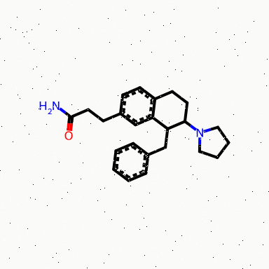 NC(=O)CCc1ccc2c(c1)C(Cc1ccccc1)C(N1CCCC1)CC2